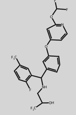 OC(CNC(c1cccc(Oc2ccnc(OC(F)F)c2)c1)c1cc(C(F)(F)F)ccc1F)C(F)(F)F